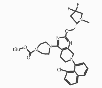 CN1CC(F)(F)C[C@H]1COc1nc2c(c(N3CCN(C(=O)OC(C)(C)C)CC3)n1)CCN(c1cccc3cccc(Cl)c13)C2